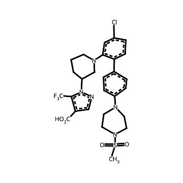 CS(=O)(=O)N1CCN(c2ccc(-c3ccc(Cl)cc3N3CCCC(n4ncc(C(=O)O)c4C(F)(F)F)C3)cc2)CC1